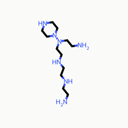 NCCNCCNCCN(CCN)N1CCNCC1